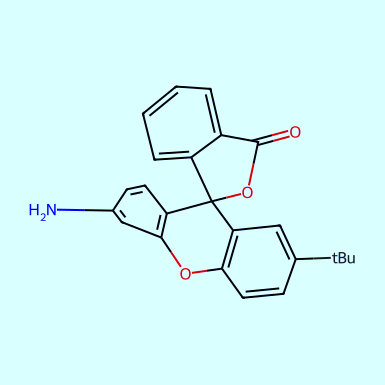 CC(C)(C)c1ccc2c(c1)C1(OC(=O)c3ccccc31)c1ccc(N)cc1O2